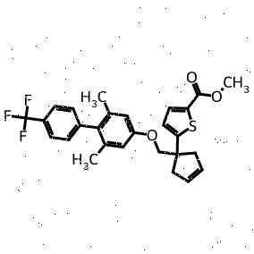 COC(=O)c1ccc(C2(COc3cc(C)c(-c4ccc(C(F)(F)F)cc4)c(C)c3)CC=CC2)s1